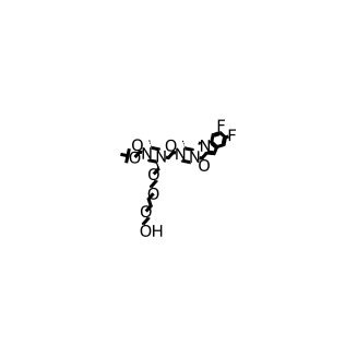 C[C@@H]1CN(C(=O)c2cc3cc(F)c(F)cc3n2C)CCN1C(=O)CN1C[C@@H](C)N(C(=O)OC(C)(C)C)C[C@@H]1COCCOCCOCCO